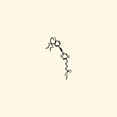 CCOC(=O)CCCCc1cnc(C#Cc2ccc3c(c2)C(SCC)(SCC)CCO3)cn1